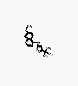 COc1[c]cc2c(Nc3cc(C(C)(C)C)no3)ncnc2c1